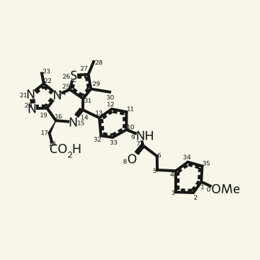 COc1ccc(CCC(=O)Nc2ccc(C3=N[C@@H](CC(=O)O)c4nnc(C)n4-c4sc(C)c(C)c43)cc2)cc1